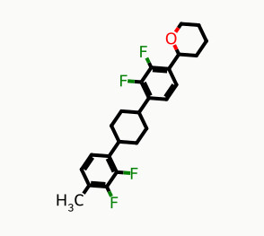 Cc1ccc(C2CCC(c3ccc(C4CCCCO4)c(F)c3F)CC2)c(F)c1F